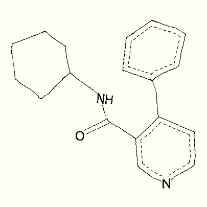 O=C(NC1CCCCC1)c1cnccc1-c1ccccc1